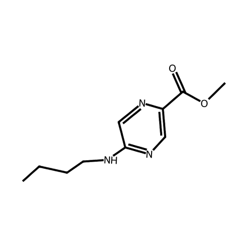 CCCCNc1cnc(C(=O)OC)cn1